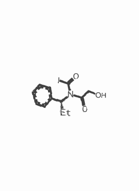 CC[C@@H](c1ccccc1)N(C(=O)I)C(=O)CO